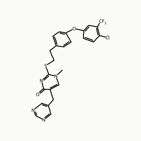 Cn1cc(Cc2cncnc2)c(=O)nc1SCCc1ccc(Oc2ccc(Cl)c(C(F)(F)F)c2)cc1